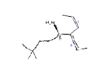 C/C=C\C(=C/C)[C@H](N)CCC(C)(C)C